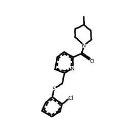 CC1CCN(C(=O)c2cccc(CSc3ccccc3Cl)n2)CC1